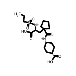 CCCS(=O)(=O)NC(CC1(C(=O)N[C@H]2CC[C@@H](C(=O)O)CC2)CCCC1)C(=O)O